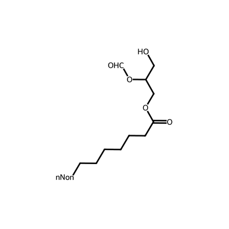 CCCCCCCCCCCCCCCC(=O)OCC(CO)OC=O